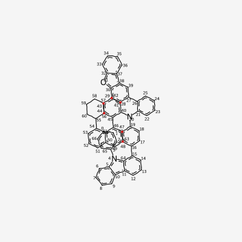 c1ccc(-n2c3ccccc3c3cccc(-c4ccc(N(c5ccccc5-c5ccc6oc7ccccc7c6c5)c5ccccc5-c5cccc6cccc(C7CCCCC7)c56)cc4)c32)cc1